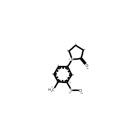 Cc1ccc(N2CCCC2=O)cc1SCl